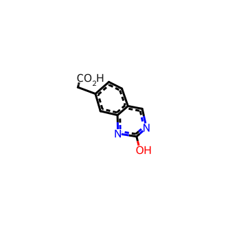 O=C(O)Cc1ccc2cnc(O)nc2c1